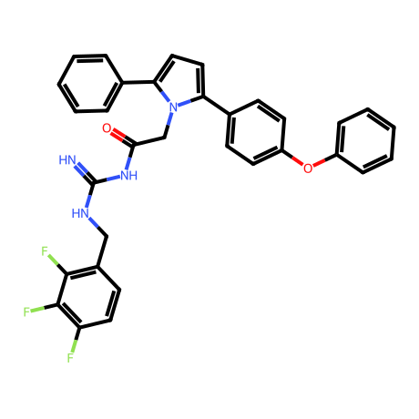 N=C(NCc1ccc(F)c(F)c1F)NC(=O)Cn1c(-c2ccccc2)ccc1-c1ccc(Oc2ccccc2)cc1